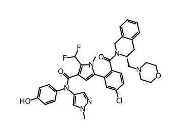 Cn1cc(N(C(=O)c2cc(-c3cc(Cl)ccc3C(=O)N3Cc4ccccc4C[C@H]3CN3CCOCC3)n(C)c2C(F)F)c2ccc(O)cc2)cn1